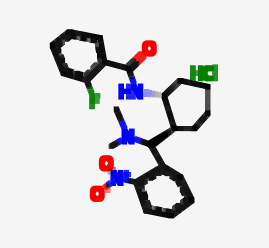 CN(C)C(c1ccccc1[N+](=O)[O-])[C@@H]1CCCC[C@H]1NC(=O)c1ccccc1F.Cl